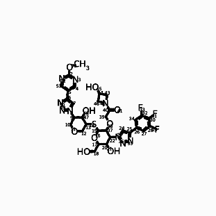 COc1ncc(-c2cn(C3COCC(SC4OC(CO)C(O)C(n5cc(-c6cc(F)c(F)c(F)c6)nn5)C4OCC(=O)N4CC(O)C4)C3O)nn2)cn1